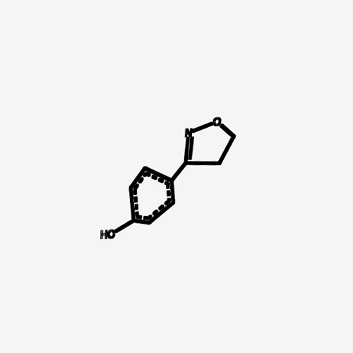 Oc1ccc(C2=NOCC2)cc1